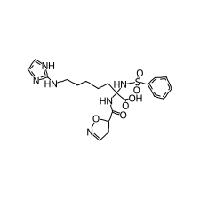 O=C(NC(CCCCCNc1ncc[nH]1)(NS(=O)(=O)c1ccccc1)C(=O)O)C1CC=NO1